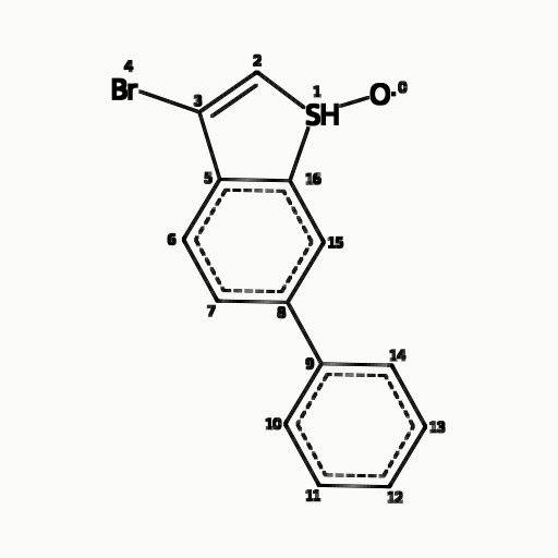 [O][SH]1C=C(Br)c2ccc(-c3ccccc3)cc21